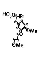 COCCCOc1cc(C[C@H](C(=O)O)C(C)C)ccc1OC